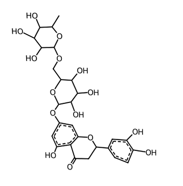 CC1OC(OCC2OC(Oc3cc(O)c4c(c3)OC(c3ccc(O)c(O)c3)CC4=O)C(O)C(O)C2O)C(O)C(O)C1O